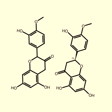 COc1ccc(C2Oc3cc(O)cc(O)c3CC2=O)cc1O.COc1ccc([C@@H]2CC(=O)c3c(O)cc(O)cc3O2)cc1O